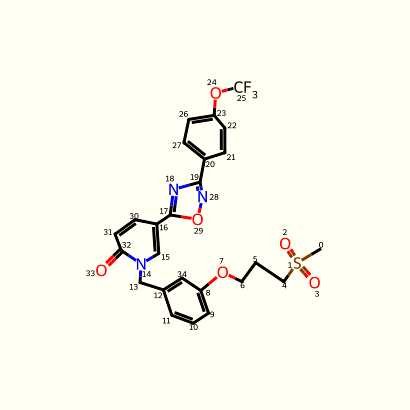 CS(=O)(=O)CCCOc1cccc(Cn2cc(-c3nc(-c4ccc(OC(F)(F)F)cc4)no3)ccc2=O)c1